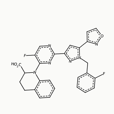 O=C(O)C1CCc2ccccc2N1c1nc(-c2cc(-c3ccon3)n(Cc3ccccc3F)n2)ncc1F